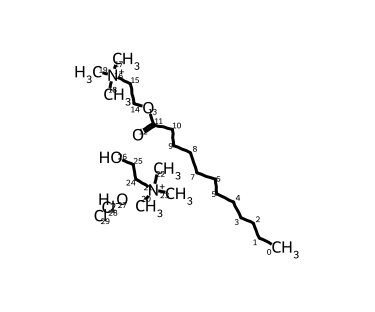 CCCCCCCCCCCC(=O)OCC[N+](C)(C)C.C[N+](C)(C)CCO.O.[Cl-].[Cl-]